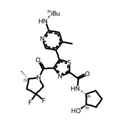 CC[C@@H](C)Nc1cc(C)c(-c2sc(C(=O)N[C@@H]3CCC[C@H]3O)nc2C(=O)N2CC(F)(F)C[C@@H]2C)cn1